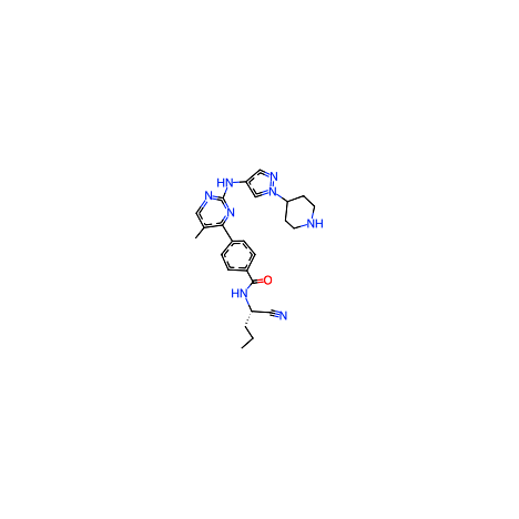 CCC[C@@H](C#N)NC(=O)c1ccc(-c2nc(Nc3cnn(C4CCNCC4)c3)ncc2C)cc1